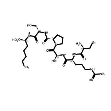 CC[C@H](C)[C@H](NC(=O)[C@H](CCCNC(=N)N)NC(=O)[C@@H](N)CC(C)C)C(=O)N1CCC[C@H]1C(=O)N[C@@H](CO)C(=O)N[C@@H](CCCCN)C(=O)O